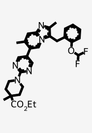 CCOC(=O)C1(C)CCN(c2ncc(-c3cn4c(Cc5ccccc5OC(F)F)c(C)nc4cc3C)cn2)CC1